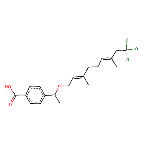 C/C(=C\COC(C)c1ccc(C(=O)O)cc1)CC/C=C(\C)CC(Cl)(Cl)Cl